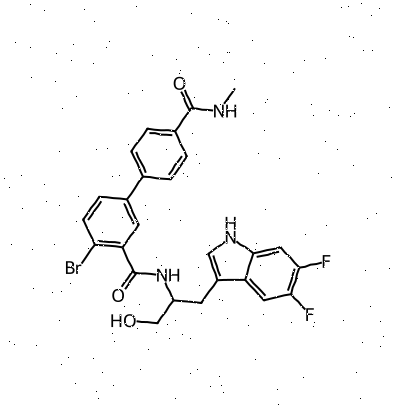 CNC(=O)c1ccc(-c2ccc(Br)c(C(=O)NC(CO)Cc3c[nH]c4cc(F)c(F)cc34)c2)cc1